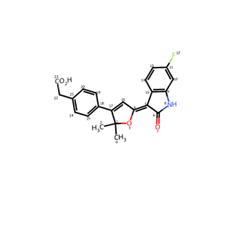 CC1(C)OC(=C2C(=O)Nc3cc(F)ccc32)C=C1c1ccc(CC(=O)O)cc1